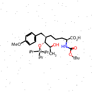 COc1ccc(C[C@@H](CCC[C@H](NC(=O)OC(C)(C)C)C(=O)O)[C@@H](O[Si](C(C)C)(C(C)C)C(C)C)[C@H](C)O)cc1